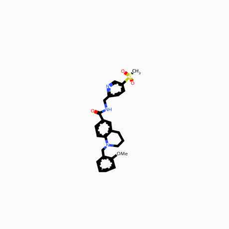 COc1ccccc1CN1CCCc2cc(C(=O)NCc3ccc(S(C)(=O)=O)cn3)ccc21